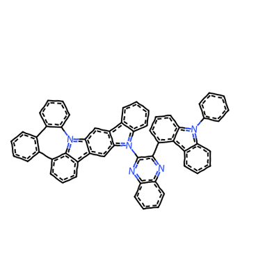 c1ccc(-n2c3ccccc3c3c(-c4nc5ccccc5nc4-n4c5ccccc5c5cc6c(cc54)c4cccc5c4n6-c4ccccc4-c4ccccc4-5)cccc32)cc1